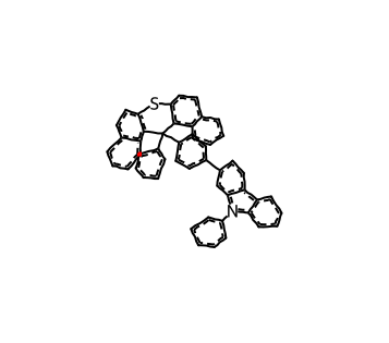 c1ccc(-n2c3ccccc3c3ccc(-c4ccc(C5(c6ccccc6)c6c(ccc7ccccc67)Sc6ccc7ccccc7c65)cc4)cc32)cc1